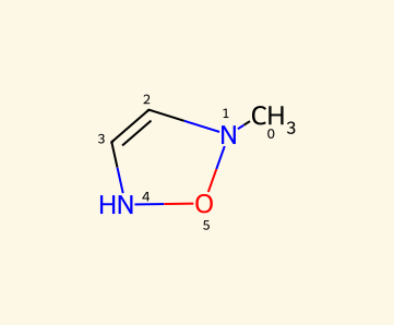 CN1C=CNO1